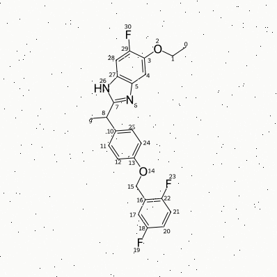 CCOc1cc2nc(C(C)c3ccc(OCc4cc(F)ccc4F)cc3)[nH]c2cc1F